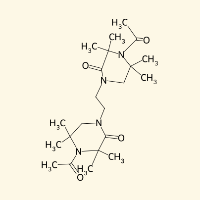 CC(=O)N1C(C)(C)CN(CCN2CC(C)(C)N(C(C)=O)C(C)(C)C2=O)C(=O)C1(C)C